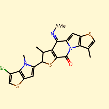 CSN=C1C2=C(SC(c3cc4scc(Br)c4n3C)C2C)C(=O)n2c1cc1scc(C)c12